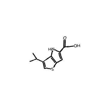 CC(C)c1csc2cc(C(=O)O)[nH]c12